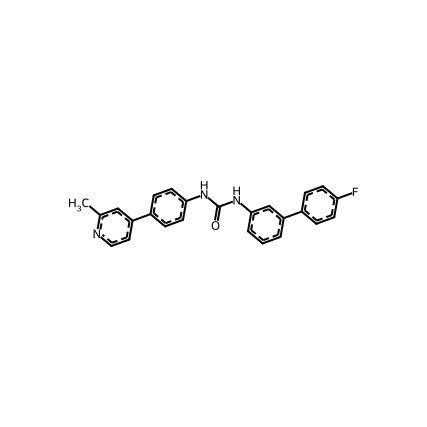 Cc1cc(-c2ccc(NC(=O)Nc3cccc(-c4ccc(F)cc4)c3)cc2)ccn1